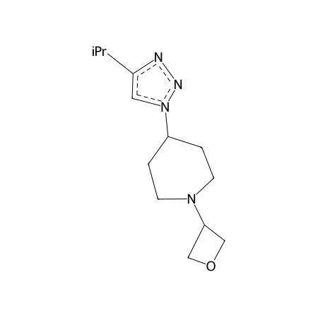 CC(C)c1cn(C2CCN(C3COC3)CC2)nn1